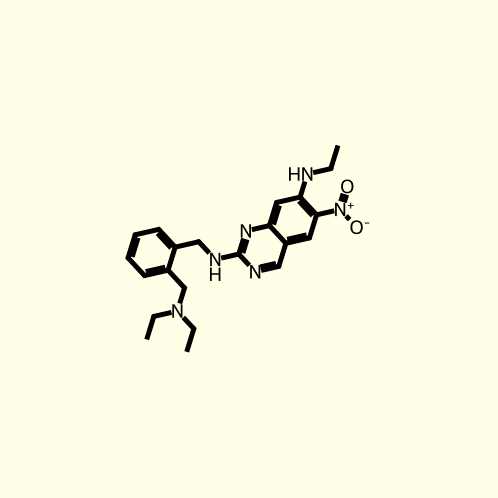 CCNc1cc2nc(NCc3ccccc3CN(CC)CC)ncc2cc1[N+](=O)[O-]